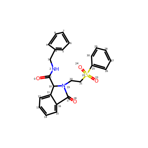 O=C(NCc1ccccc1)C1c2ccccc2C(=O)N1CCS(=O)(=O)c1ccccc1